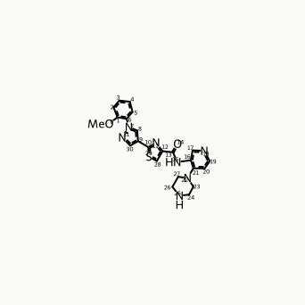 COc1ccccc1-n1cc(-c2nc(C(=O)Nc3cnccc3N3CCNCC3)cs2)cn1